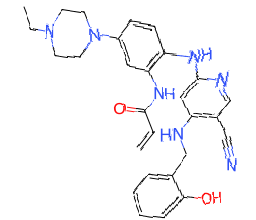 C=CC(=O)Nc1cc(N2CCN(CC)CC2)ccc1Nc1cc(NCc2ccccc2O)c(C#N)cn1